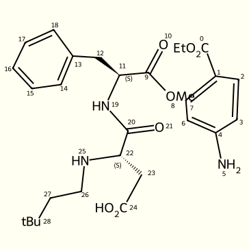 CCOC(=O)c1ccc(N)cc1.COC(=O)[C@H](Cc1ccccc1)NC(=O)[C@H](CC(=O)O)NCCC(C)(C)C